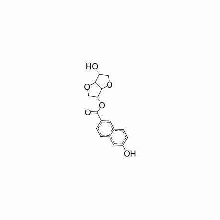 O=C(O[C@@H]1COC2C1OC[C@H]2O)c1ccc2cc(O)ccc2c1